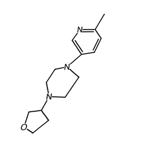 Cc1ccc(N2CCN(C3CCOC3)CC2)cn1